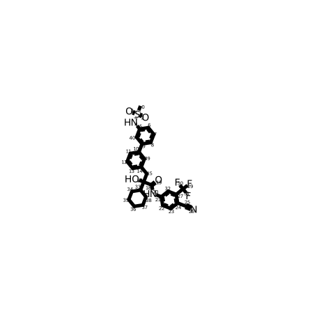 CS(=O)(=O)Nc1cccc(-c2cccc(CC(O)(C(=O)Nc3ccc(C#N)c(C(F)(F)F)c3)C3CCCCC3)c2)c1